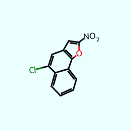 O=[N+]([O-])c1cc2cc(Cl)c3ccccc3c2o1